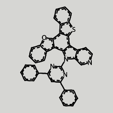 c1ccc(-c2cc(-c3ccccc3)nc(-n3c4cnccc4c4c5sc6ccccc6c5c5oc6ccccc6c5c43)n2)cc1